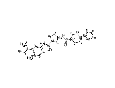 CC(CF)c1cc(NC(=O)[C@@H]2CCN(CC(=O)N3CCN(c4nccs4)CC3)C2)ccc1O